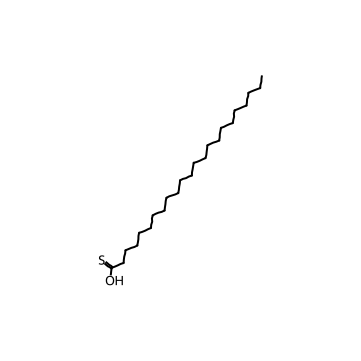 CCCCCCCCCCCCCCCCCCCCCCC(O)=S